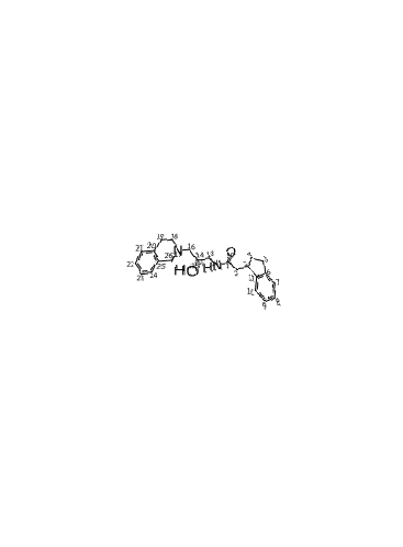 O=C(CC1CCc2ccccc21)NC[C@H](O)CN1CCc2ccccc2C1